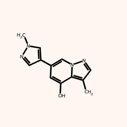 Cc1cnn2cc(-c3cnn(C)c3)cc(O)c12